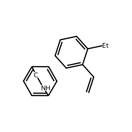 C=Cc1ccccc1CC.c1cc2ccc1CN2